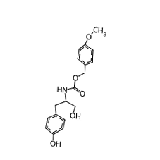 COc1ccc(COC(=O)NC(CO)Cc2ccc(O)cc2)cc1